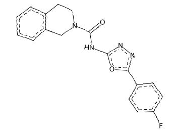 O=C(Nc1nnc(-c2ccc(F)cc2)o1)N1CCc2ccccc2C1